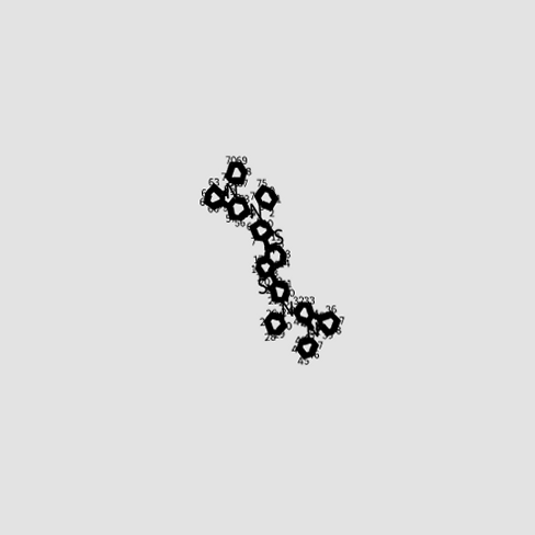 c1ccc(N(c2ccc3c(c2)sc2ccc4c(ccc5sc6cc(N(c7ccccc7)c7ccc8c9ccccc9n(-c9ccccc9)c8c7)ccc6c54)c23)c2ccc3c4ccccc4n(-c4ccccc4)c3c2)cc1